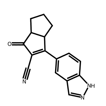 N#CC1=C(c2ccc3[nH]ncc3c2)C2CCCC2C1=O